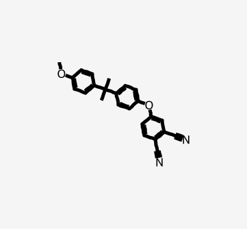 COc1ccc(C(C)(C)c2ccc(Oc3ccc(C#N)c(C#N)c3)cc2)cc1